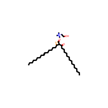 CCCCCCCCC=CCCCCCC1[P-]C(=O)C1C(=O)CCCCCCCCCCCCCCC.C[N+](C)(C)CCO